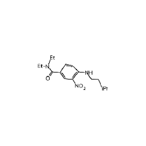 CCN(CC)C(=O)c1ccc(NCCC(C)C)c([N+](=O)[O-])c1